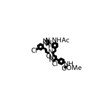 COC(=O)Nc1ccc(-c2cc(C(Cc3ccc(NC(C)=O)cc3)NC(=O)/C=C/c3cc(Cl)ccc3-n3cnnn3)nnc2Cl)cc1